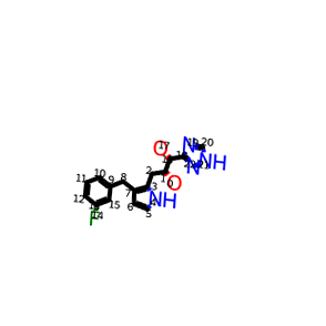 O=C(Cc1[nH]ccc1Cc1cccc(F)c1)C(=O)c1nc[nH]n1